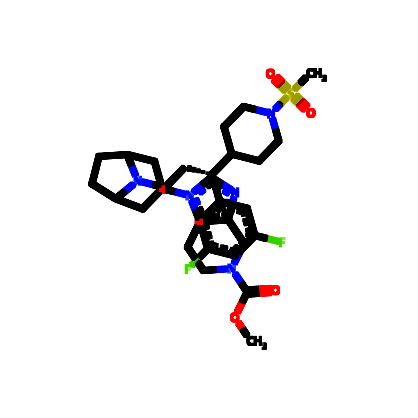 COC(=O)N1CCc2c(ncn2C2CC3CCC(C2)N3CC[C@@H](c2cc(F)cc(F)c2)C2CCN(S(C)(=O)=O)CC2)C1